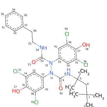 CC(C)(C)CC(C)(C)NC(=O)N(c1cc(Cl)c(O)c(Cl)c1)N(C(=O)NCCc1ccccc1)c1cc(Cl)c(O)c(Cl)c1